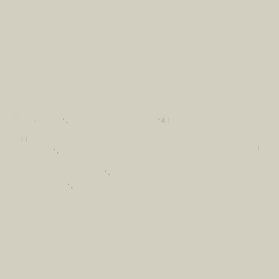 [2H]C([2H])([2H])c1nc(-c2ccc(NC(=O)[C@H](O)c3cccc(C(F)(F)F)c3)c(F)c2F)c2c(N)ncc(C)n12